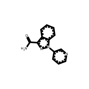 NC(=O)c1nn(-c2cccnc2)c2ccccc12